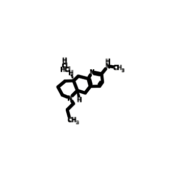 CCCN1CCC[C@H]2Cc3nc(NC)ccc3C[C@@H]21.Cl.Cl